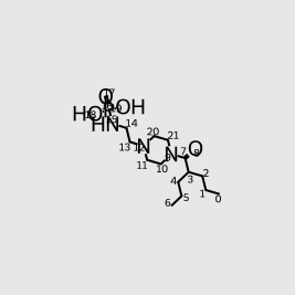 CCCC(CCC)C(=O)N1CCN(CCNP(=O)(O)O)CC1